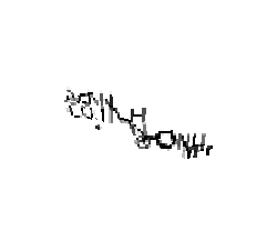 CCCNc1ccc(C(=O)NCCCCC(NC(C)=O)C(=O)O)cc1